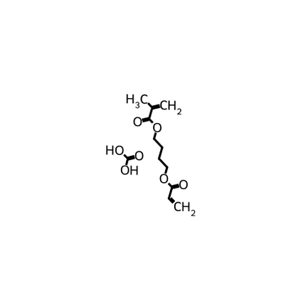 C=CC(=O)OCCCCOC(=O)C(=C)C.O=C(O)O